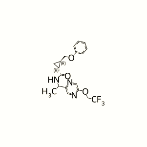 CC(NC(=O)[C@@H]1C[C@H]1COc1ccccc1)c1cnc(OCC(F)(F)F)cn1